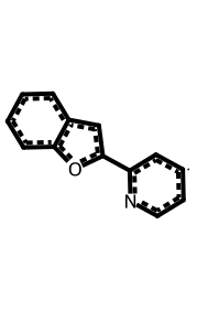 [c]1ccnc(-c2cc3ccccc3o2)c1